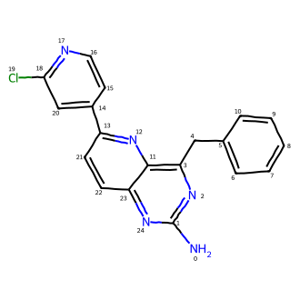 Nc1nc(Cc2ccccc2)c2nc(-c3ccnc(Cl)c3)ccc2n1